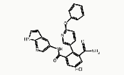 Cl.NC(=O)c1cccc(C(=O)Nc2cnc3[nH]ccc3c2)c1-c1ccc(Oc2ccccc2)nc1